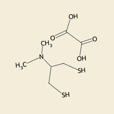 CN(C)C(CS)CS.O=C(O)C(=O)O